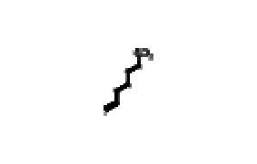 C=CCCCC[N+](=O)[O-]